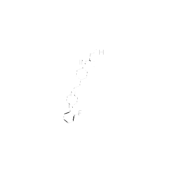 CC(F)C(=O)NC1CCC(CCN2CCN(c3ccccc3F)CC2)CC1